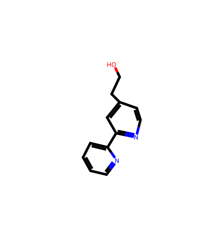 OCCc1ccnc(-c2ccccn2)c1